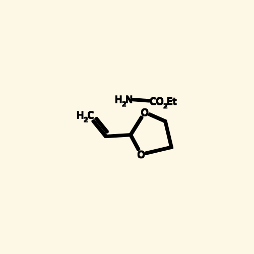 C=CC1OCCO1.CCOC(N)=O